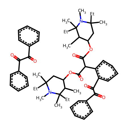 CCC1(C)CC(OC(=O)C(C(=O)OC2CC(C)(CC)N(C)C(C)(CC)C2C)c2ccccc2C(=O)C(=O)c2ccccc2)C(C)C(C)(CC)N1C.O=C(C(=O)c1ccccc1)c1ccccc1